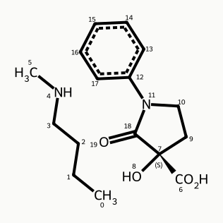 CCCCNC.O=C(O)[C@]1(O)CCN(c2ccccc2)C1=O